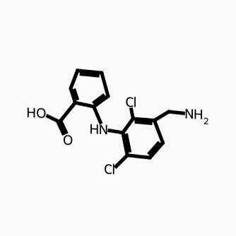 NCc1ccc(Cl)c(Nc2ccccc2C(=O)O)c1Cl